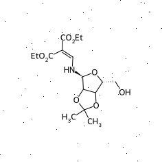 CCOC(=O)C(=CN[C@H]1O[C@H](CO)C2OC(C)(C)OC21)C(=O)OCC